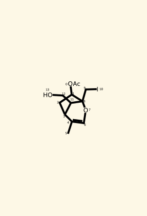 CC(=O)OC1CC2C(C)=COC1(CI)C2CO